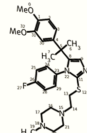 COc1ccc(C(C)(C)c2cnc(SCCN3CCN(C)CC3)n2-c2ccc(F)cc2)cc1OC